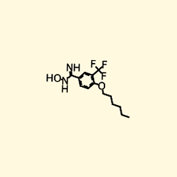 CCCCCCOc1ccc(C(=N)NO)cc1C(F)(F)F